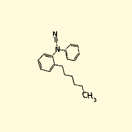 CCCCCCc1ccccc1N(C#N)c1ccccc1